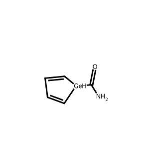 N[C](=O)[GeH]1[CH]=CC=[CH]1